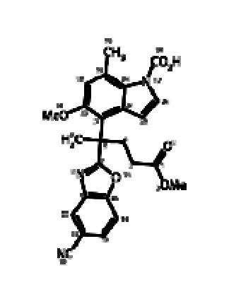 COC(=O)CCC(C)(c1nc2cc(C#N)ccc2o1)c1c(OC)cc(C)c2c1ccn2C(=O)O